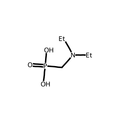 CCN(CC)CP(=O)(O)O